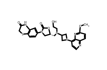 COc1ccc2nccc(N3CC(N(CCO)C[C@@H]4CN(c5ccc6c(c5)NC(=O)CS6)C(=O)O4)C3)c2n1